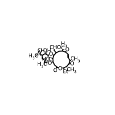 CCC1OC(=O)CC(O)C(C)C(OC2OC(C)CC(N(C)C)C2O)C(CC=O)CC(C)C(=O)/C=C/C2(C)OC2C1C